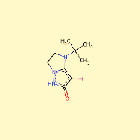 CC(C)(C)N1CCn2[nH]c(=O)c(I)c21